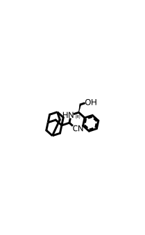 N#CC(N[C@@H](CO)c1ccccc1)C12CC3CC(CC(C3)C1)C2